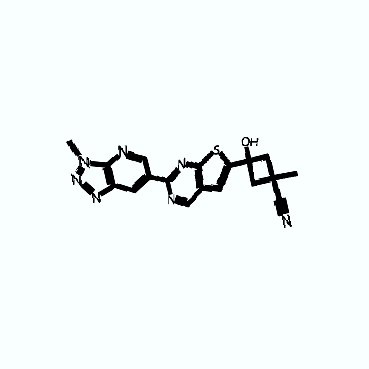 Cn1nnc2cc(-c3ncc4cc(C5(O)CC(C)(C#N)C5)sc4n3)cnc21